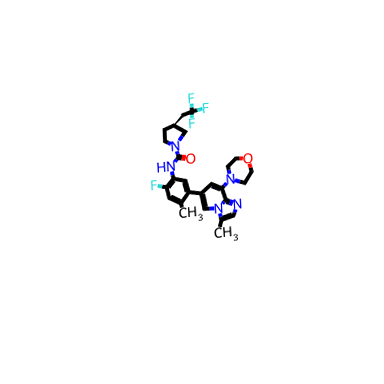 Cc1cc(F)c(NC(=O)N2CC[C@@H](CC(F)(F)F)C2)cc1-c1cc(N2CCOCC2)c2ncc(C)n2c1